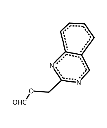 O=COCc1ncc2ccccc2n1